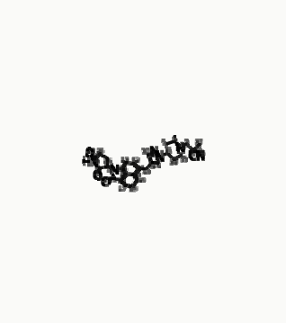 N#CC1(CN2CCC(n3cc(Cc4ccc5c6c(cccc46)C(=O)N5C4CCC(=O)NC4=O)cn3)CC2)CC1